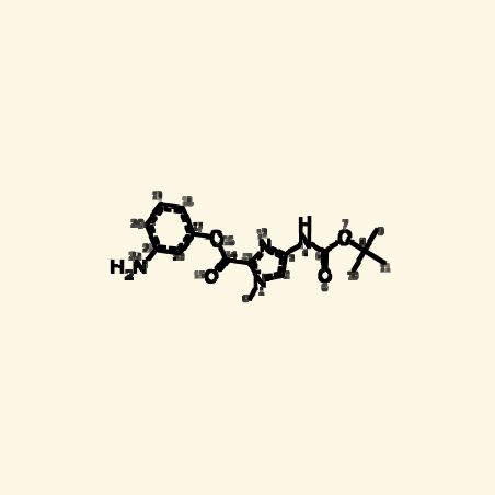 Cn1cc(NC(=O)OC(C)(C)C)nc1C(=O)Oc1cccc(N)c1